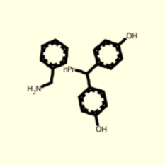 CCCC(c1ccc(O)cc1)c1ccc(O)cc1.NCc1ccccc1